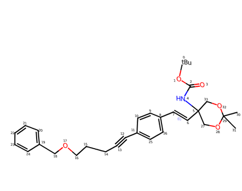 CC(C)(C)OC(=O)NC1(/C=C/c2ccc(C#CCCCOCc3ccccc3)cc2)COC(C)(C)OC1